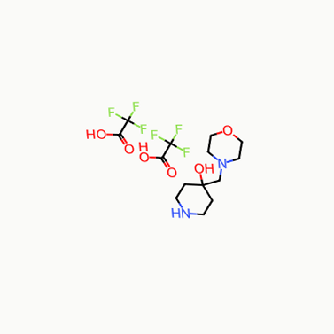 O=C(O)C(F)(F)F.O=C(O)C(F)(F)F.OC1(CN2CCOCC2)CCNCC1